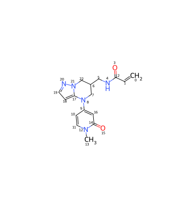 C=CC(=O)NCC1CN(c2ccn(C)c(=O)c2)c2ccnn2C1